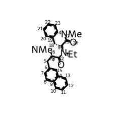 CCN(C(=O)[C@@H](Cc1ccc2ccccc2c1)NC)[C@H](Cc1ccccc1)C(=O)NC